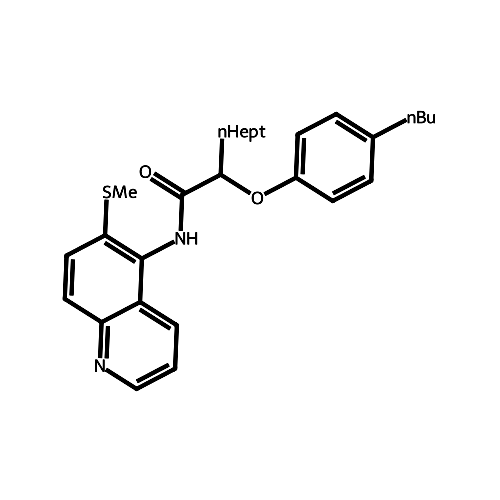 CCCCCCCC(Oc1ccc(CCCC)cc1)C(=O)Nc1c(SC)ccc2ncccc12